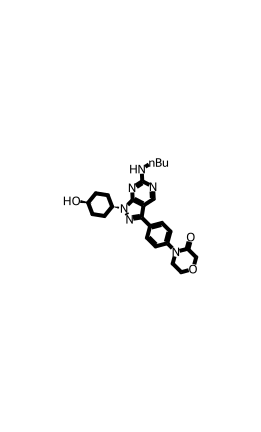 CCCCNc1ncc2c(-c3ccc(N4CCOCC4=O)cc3)nn([C@H]3CC[C@H](O)CC3)c2n1